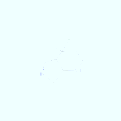 FC1(F)CCNC2CNCC21